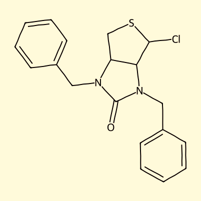 O=C1N(Cc2ccccc2)C2CSC(Cl)C2N1Cc1ccccc1